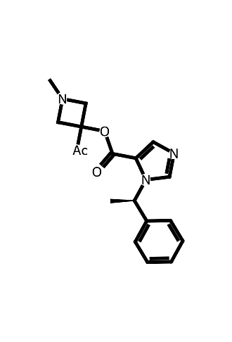 CC(=O)C1(OC(=O)c2cncn2[C@H](C)c2ccccc2)CN(C)C1